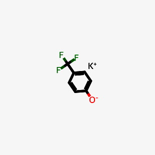 [K+].[O-]c1ccc(C(F)(F)F)cc1